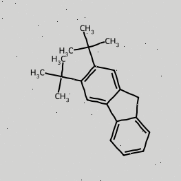 CC(C)(C)c1[c]c2c(cc1C(C)(C)C)-c1ccccc1C2